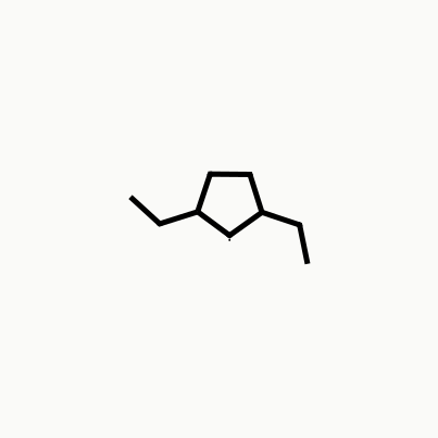 CCC1[CH]C(CC)CC1